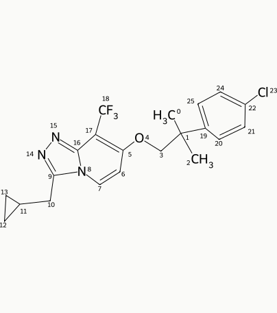 CC(C)(COc1ccn2c(CC3CC3)nnc2c1C(F)(F)F)c1ccc(Cl)cc1